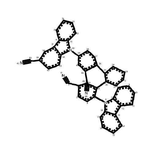 N#Cc1ccc(-n2c3ccccc3c3ccccc32)c(-c2ccccc2-c2ccc(-n3c4ccccc4c4cc(C#N)ccc43)cc2C#N)c1